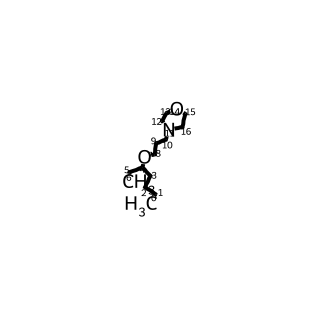 CCCCC(CC)OCCCN1CCOCC1